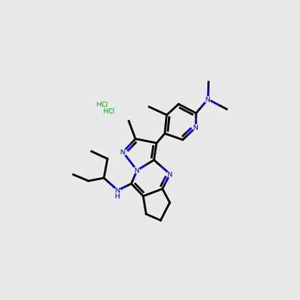 CCC(CC)Nc1c2c(nc3c(-c4cnc(N(C)C)cc4C)c(C)nn13)CCC2.Cl.Cl